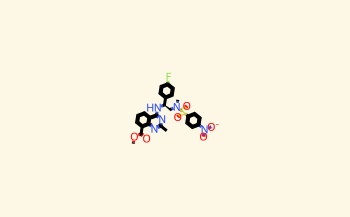 COC(=O)c1cccc2c(N[C@H](CN(C)S(=O)(=O)c3ccc([N+](=O)[O-])cc3)c3ccc(F)cc3)nc(C)nc12